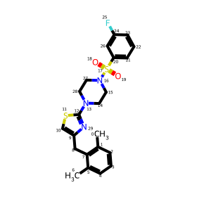 Cc1cccc(C)c1Cc1csc(N2CCN(S(=O)(=O)c3cccc(F)c3)CC2)n1